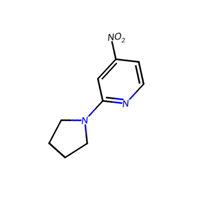 O=[N+]([O-])c1ccnc(N2CCCC2)c1